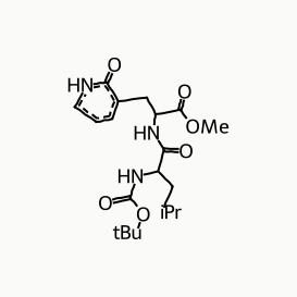 COC(=O)C(Cc1ccc[nH]c1=O)NC(=O)C(CC(C)C)NC(=O)OC(C)(C)C